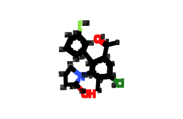 CC(=O)c1cc(Cl)c(C)c(N2CCCC2O)c1-c1cccc(F)c1